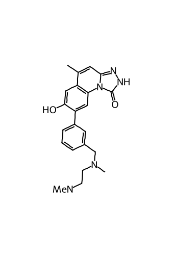 CNCCN(C)Cc1cccc(-c2cc3c(cc2O)c(C)cc2n[nH]c(=O)n23)c1